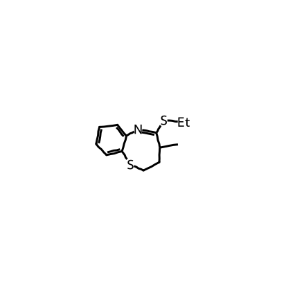 CCSC1=Nc2ccccc2SCCC1C